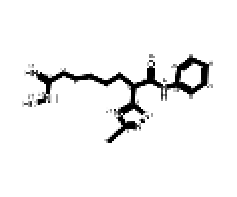 Cc1nsc(C(CCCCCC(=N)NO)C(=O)Nc2ccccc2)n1